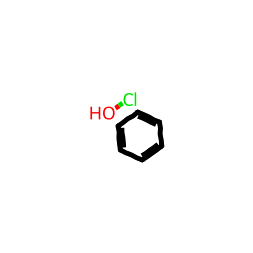 OCl.c1ccccc1